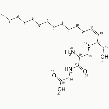 CCCCCCCCCCCC/C=C\C(CO)SCC(N)C(=O)NCC(=O)O